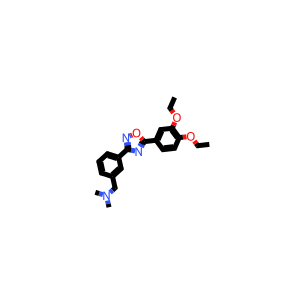 CCOc1ccc(-c2nc(-c3cccc(CN(C)C)c3)no2)cc1OCC